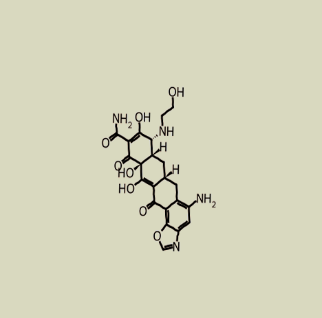 NC(=O)C1=C(O)[C@H](NCCO)[C@@H]2C[C@@H]3Cc4c(N)cc5ncoc5c4C(=O)C3=C(O)[C@]2(O)C1=O